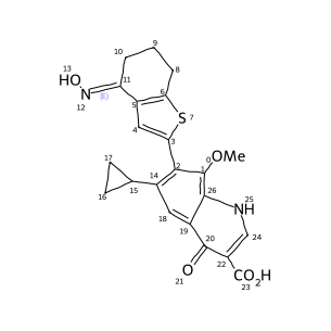 COc1c(-c2cc3c(s2)CCC/C3=N\O)c(C2CC2)cc2c(=O)c(C(=O)O)c[nH]c12